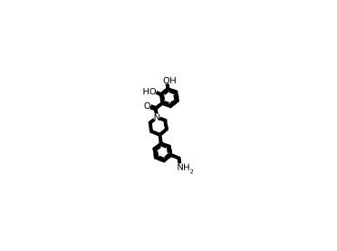 NCc1cccc(C2CCN(C(=O)c3cccc(O)c3O)CC2)c1